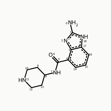 Nc1nc2c(C(=O)NC3CCNCC3)cccc2[nH]1